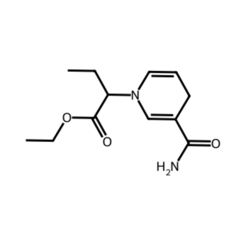 CCOC(=O)C(CC)N1C=CCC(C(N)=O)=C1